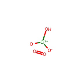 O=O.[O-][Cl+2]([O-])O